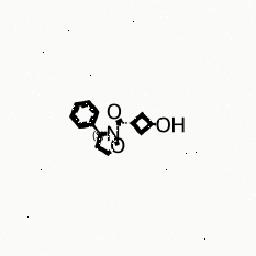 O=C([C@H]1C[C@H](O)C1)N1OCC[C@H]1c1ccccc1